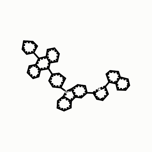 c1ccc(-c2c3ccccc3c(-c3ccc(-n4c5ccccc5c5cc(-c6cccc(-c7cccc8ccccc78)c6)ccc54)cc3)c3ccccc23)cc1